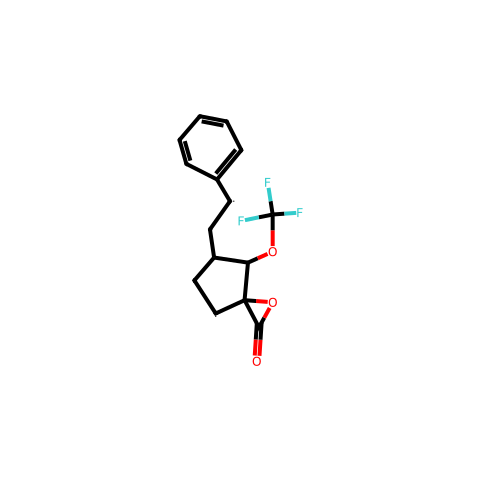 O=C1OC12[CH]CC(C[CH]c1ccccc1)C2OC(F)(F)F